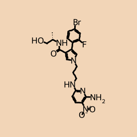 C[C@@H](CO)NC(=O)c1cn(CCCNc2ccc([N+](=O)[O-])c(N)n2)cc1-c1ccc(Br)cc1F